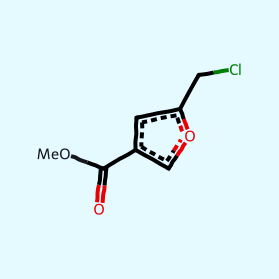 COC(=O)c1coc(CCl)c1